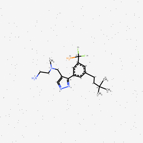 CN(CCN)CC1=C=NN=C1c1cc(CCC(C)(C)C)cc(C(F)(F)P)c1